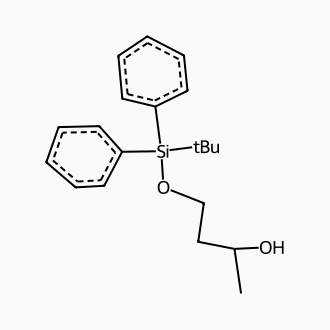 CC(O)CCO[Si](c1ccccc1)(c1ccccc1)C(C)(C)C